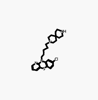 Clc1ccc2c(c1)N(CCCCCN1CCC3(CCNCC3)CC1)c1ncccc1S2